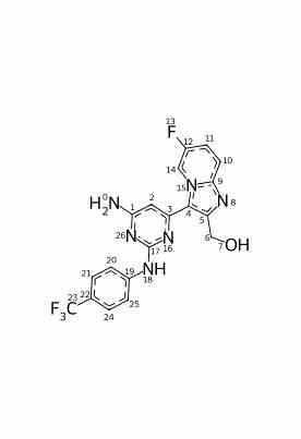 Nc1cc(-c2c(CO)nc3ccc(F)cn23)nc(Nc2ccc(C(F)(F)F)cc2)n1